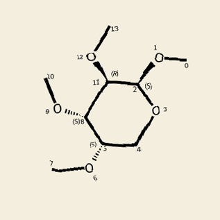 CO[C@H]1OC[C@H](OC)[C@H](OC)[C@H]1OC